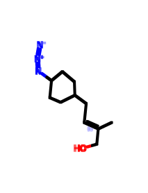 C/C(=C\CC1CCC(N=[N+]=[N-])CC1)CO